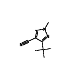 Cn1[c]c(C#N)c(C(C)(C)C)n1